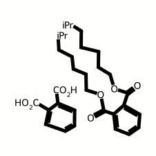 CC(C)CCCCCOC(=O)c1ccccc1C(=O)OCCCCCC(C)C.O=C(O)c1ccccc1C(=O)O